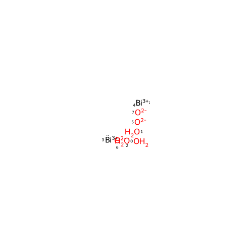 O.O.O.[Bi+3].[Bi+3].[O-2].[O-2].[O-2]